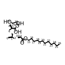 C=C(C)C.C=C(C)C(=O)O.C=CC(=O)OCCCCCCCCCCCC.OCCO